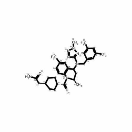 C[C@@H]1CC(N(Cc2cc(C(F)(F)F)cc(C(F)(F)F)c2)c2nnn(C)n2)c2cc(C(F)(F)F)ccc2N1C(=O)[C@H]1CC[C@H](CC(N)=O)CC1